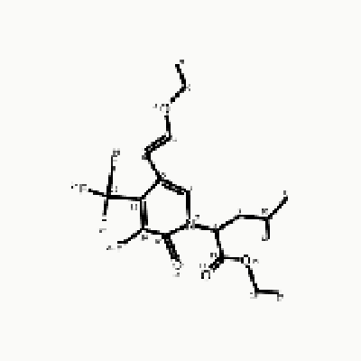 CCO/C=C/c1cn(C(CC(C)C)C(=O)OCC)c(=O)c(F)c1C(F)(F)F